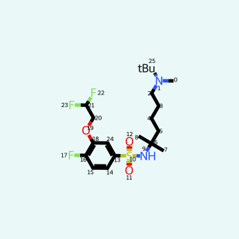 CN(CCCCC(C)(C)NS(=O)(=O)c1ccc(F)c(OCC(F)F)c1)C(C)(C)C